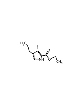 CCCc1n[nH]c(C(=O)OCC)c1I